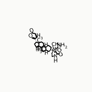 CCN(C(N)=O)[N+]1([C@H]2CC[C@@]3(C)[C@H](CC[C@H]4C5=CC[C@H](c6ccc(=O)oc6)[C@@]5(C)CC[C@@H]43)C2)CCNC(=O)C1